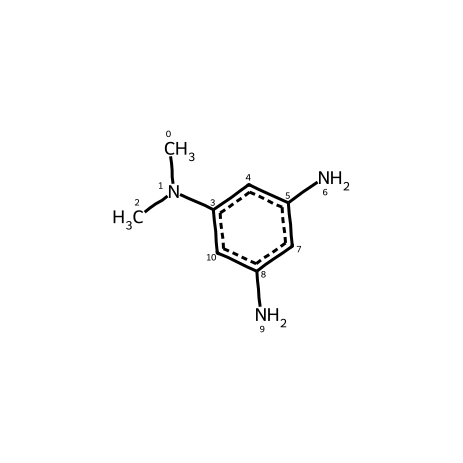 CN(C)c1cc(N)cc(N)c1